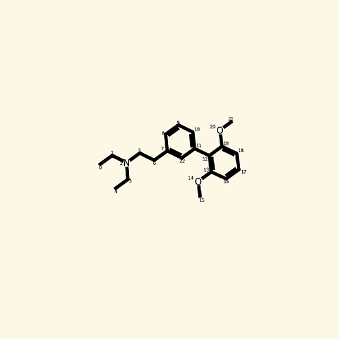 CCN(CC)CCc1cccc(-c2c(OC)cccc2OC)c1